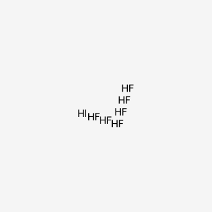 F.F.F.F.F.F.I